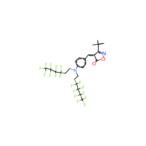 CC(C)(C)C1=NOC(=O)C1=Cc1ccc(N(CCC(F)(F)C(F)(F)C(F)(F)C(F)(F)F)CCC(F)(F)C(F)(F)C(F)(F)C(F)(F)F)cc1